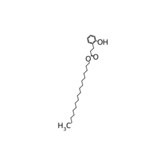 CCCCCCCCCCCCCCCCCCOC(=O)CCc1ccccc1O